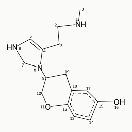 CNCCC1=CNCN1C1COc2ccc(O)cc2C1